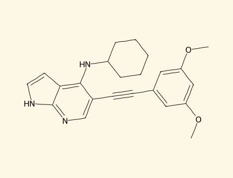 COc1cc(C#Cc2cnc3[nH]ccc3c2NC2CCCCC2)cc(OC)c1